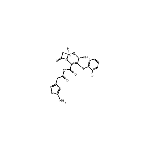 Nc1nc(CC(=O)OC(=O)C2=C(Sc3ccccc3Br)C(N)S[C@@H]3CC(=O)N23)cs1